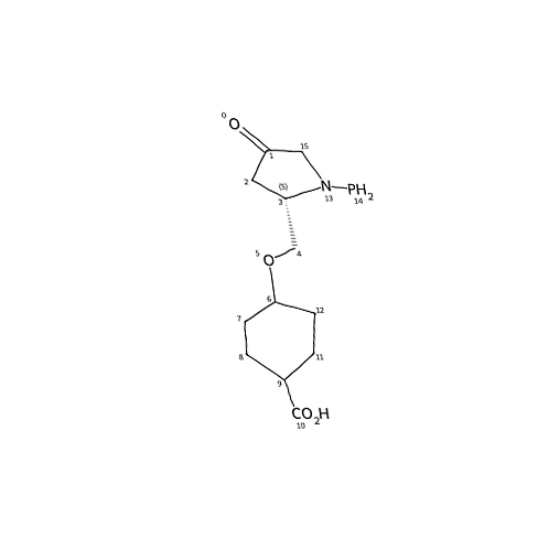 O=C1C[C@@H](COC2CCC(C(=O)O)CC2)N(P)C1